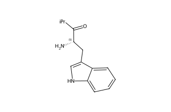 CC(C)C(=O)[C@@H](N)Cc1c[nH]c2ccccc12